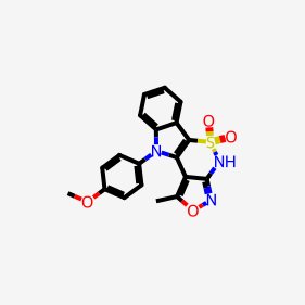 COc1ccc(-n2c3c(c4ccccc42)S(=O)(=O)Nc2noc(C)c2-3)cc1